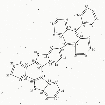 c1ccc(-c2c3ccccc3c(-c3ccc4c(c3)sc3c5ccccc5c5sc6ccccc6c5c43)c3ccccc23)cc1